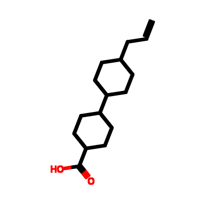 C=CCC1CCC(C2CCC(C(=O)O)CC2)CC1